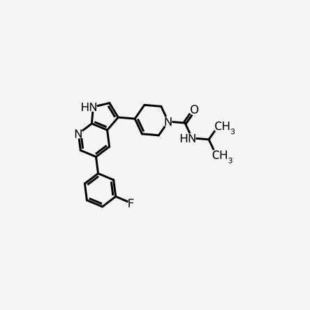 CC(C)NC(=O)N1CC=C(c2c[nH]c3ncc(-c4cccc(F)c4)cc23)CC1